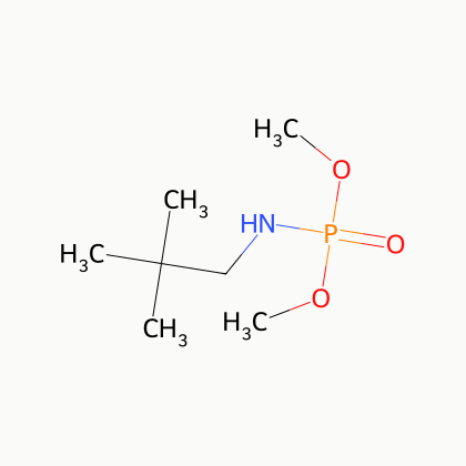 COP(=O)(NCC(C)(C)C)OC